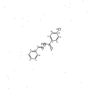 O=C(NN=Cc1ccccc1)c1ccc(Cl)cc1